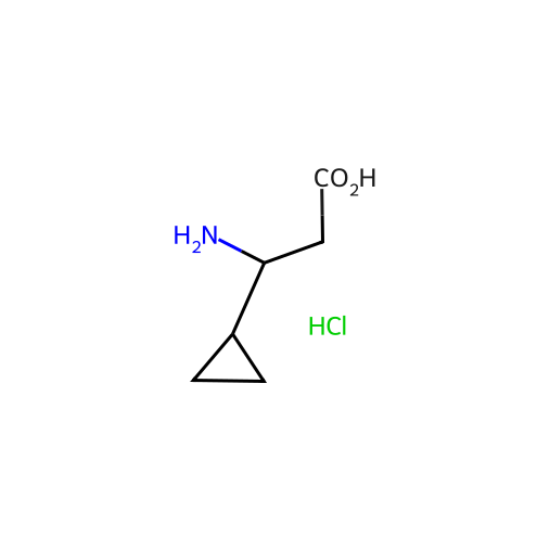 Cl.NC(CC(=O)O)C1CC1